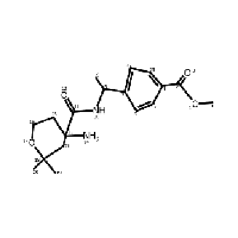 COC(=O)c1ccc(C(C)NC(=O)C2(N)CCOC(C)(C)C2)cc1